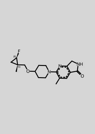 Cc1cc2c(nc1N1CCC(OC[C@]3(C)C[C@H]3F)CC1)CNC2=O